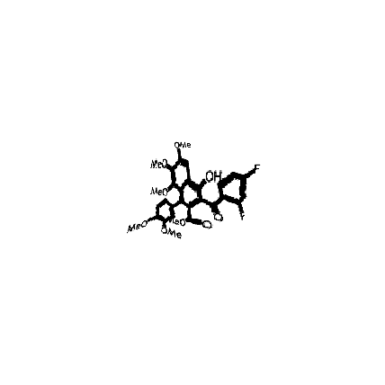 COC(=O)c1c(C(=O)c2ccc(F)cc2F)c(O)c2cc(OC)c(OC)c(OC)c2c1-c1ccc(OC)c(OC)c1